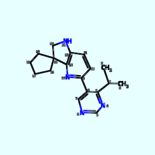 CC(C)c1ncncc1-c1ccc2c(n1)C1(CCCC1)CN2